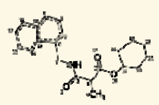 CC(C(=O)NCc1cccc2ccccc12)C(=O)OC1CCCCC1